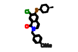 COc1ccc(Cn2ccc3cc(S[C@H]4CC[C@@H](C)CC4)c(Cl)cc3c2=O)cc1